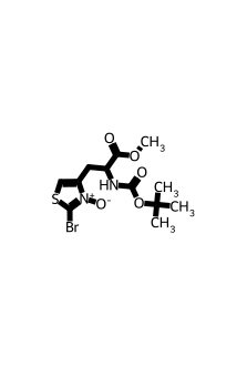 COC(=O)C(Cc1csc(Br)[n+]1[O-])NC(=O)OC(C)(C)C